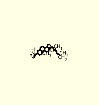 CC(C)CCC[C@@H](C)[C@H]1CCC2C3CCC4CC(c5cnc[nH]5)CC[C@]4(C)C3CC[C@@]21C